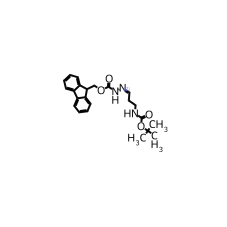 CC(C)(C)OC(=O)NCC/C=N\NC(=O)OCC1c2ccccc2-c2ccccc21